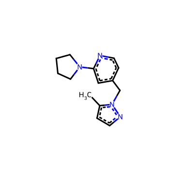 Cc1ccnn1Cc1ccnc(N2CCCC2)c1